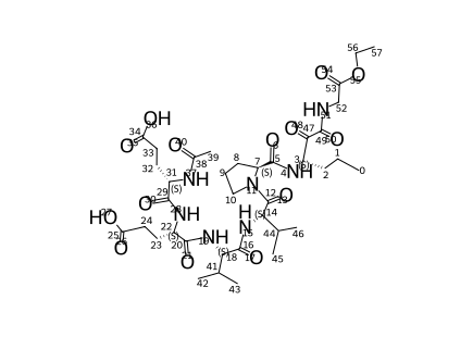 CCC[C@H](NC(=O)[C@@H]1CCCN1C(=O)[C@@H](NC(=O)[C@@H](NC(=O)[C@H](CCC(=O)O)NC(=O)[C@H](CCC(=O)O)NC(C)=O)C(C)C)C(C)C)C(=O)C(=O)NCC(=O)OCC